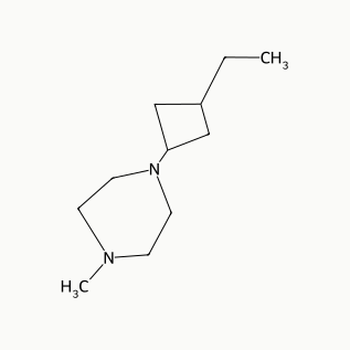 CCC1CC(N2CCN(C)CC2)C1